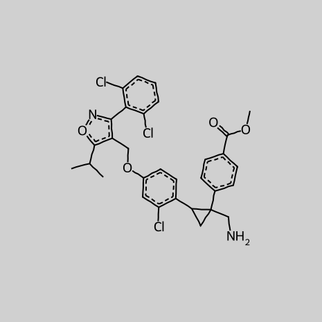 COC(=O)c1ccc(C2(CN)CC2c2ccc(OCc3c(-c4c(Cl)cccc4Cl)noc3C(C)C)cc2Cl)cc1